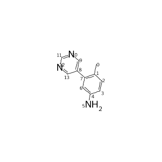 Cc1ccc(N)cc1-c1cncnc1